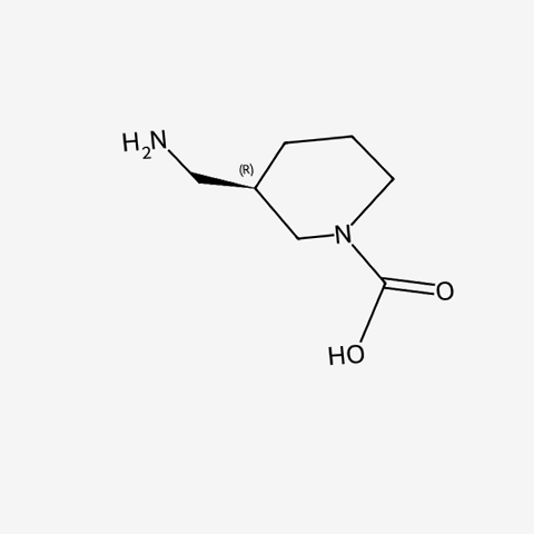 NC[C@H]1CCCN(C(=O)O)C1